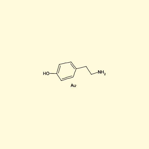 NCCc1ccc(O)cc1.[Au]